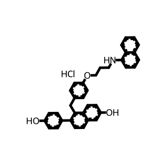 Cl.Oc1ccc(-c2ccc3cc(O)ccc3c2Cc2ccc(OCCCNc3cccc4ccccc34)cc2)cc1